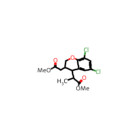 COC(=O)CC1COc2c(Cl)cc(Cl)cc2C1C(C)C(=O)OC